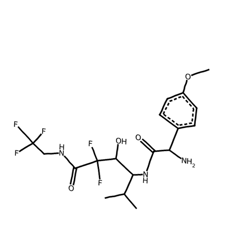 COc1ccc(C(N)C(=O)NC(C(C)C)C(O)C(F)(F)C(=O)NCC(F)(F)F)cc1